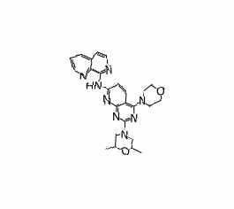 CC1CN(c2nc(N3CCOCC3)c3ccc(Nc4nccc5cccnc45)nc3n2)CC(C)O1